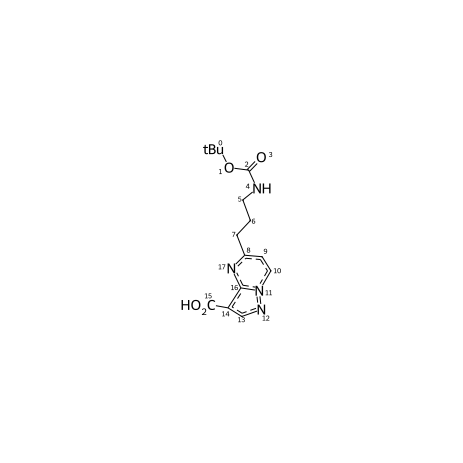 CC(C)(C)OC(=O)NCCCc1ccn2ncc(C(=O)O)c2n1